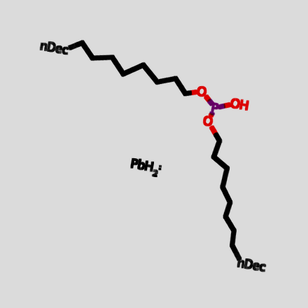 CCCCCCCCCCCCCCCCCCOP(O)OCCCCCCCCCCCCCCCCCC.[PbH2]